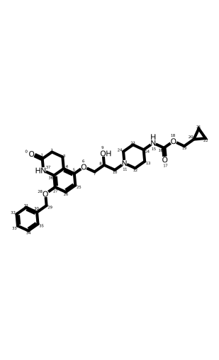 O=C1CCc2c(OCC(O)CN3CCC(NC(=O)OCC4CC4)CC3)ccc(OCc3ccccc3)c2N1